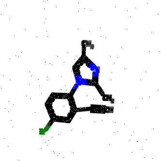 C#Cc1cc(Br)ccc1-n1cc(C)nc1C